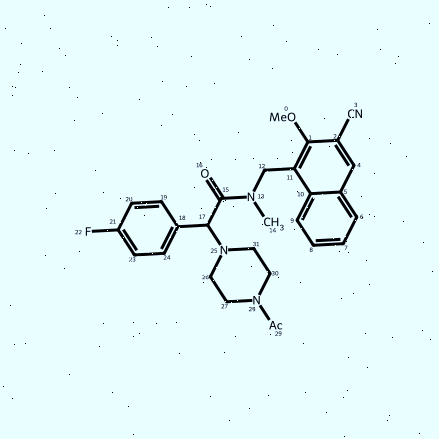 COc1c(C#N)cc2ccccc2c1CN(C)C(=O)C(c1ccc(F)cc1)N1CCN(C(C)=O)CC1